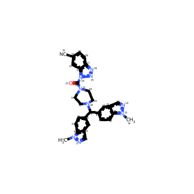 Cn1ncc2cc(C(c3ccc4c(cnn4C)c3)N3CCN(C(=O)n4nnc5ccc(C#N)cc54)CC3)ccc21